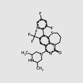 CC1CN(c2nc(=O)n3c4c(c(-c5ncc(F)cc5F)c(C(F)(F)F)cc24)SCCC3)CC(C)N1